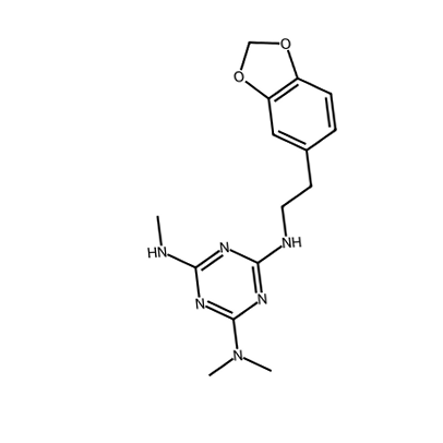 CNc1nc(NCCc2ccc3c(c2)OCO3)nc(N(C)C)n1